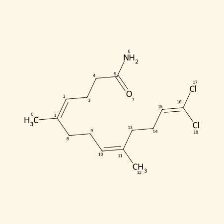 CC(=CCCC(N)=O)CCC=C(C)CCC=C(Cl)Cl